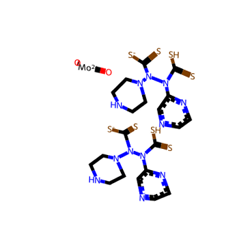 S=C(S)N(c1cnccn1)N(C(=S)[S-])N1CCNCC1.S=C(S)N(c1cnccn1)N(C(=S)[S-])N1CCNCC1.[O]=[Mo+2]=[O]